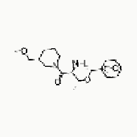 COC[C@H]1CCCN(C(=O)[C@@H](N)[C@@H](C)OCC23CCC(CC2)OC3)C1